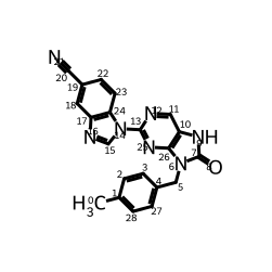 Cc1ccc(Cn2c(=O)[nH]c3cnc(-n4cnc5cc(C#N)ccc54)nc32)cc1